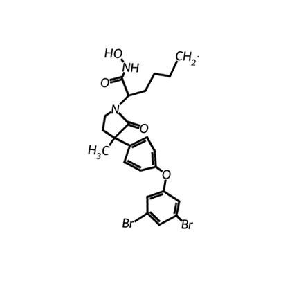 [CH2]CCCC(C(=O)NO)N1CCC(C)(c2ccc(Oc3cc(Br)cc(Br)c3)cc2)C1=O